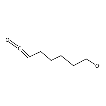 [O]CCCCCC=C=O